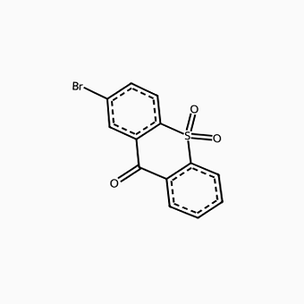 O=C1c2ccccc2S(=O)(=O)c2ccc(Br)cc21